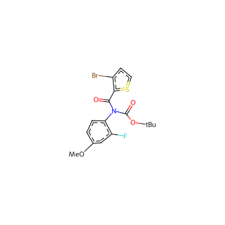 COc1ccc(N(C(=O)OC(C)(C)C)C(=O)c2sccc2Br)c(F)c1